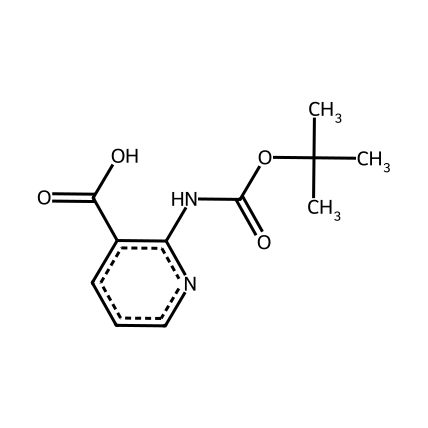 CC(C)(C)OC(=O)Nc1ncccc1C(=O)O